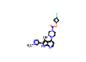 Cn1cc(-c2[nH]c3nccc(N4CCN(C(=O)O[C@H]5C[C@H](F)C5)CC4)c3c2C#N)cn1